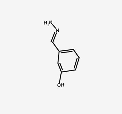 N/N=C/c1cccc(O)c1